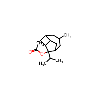 CC(=O)OC1(C(C)C)C2CC(C)CC3CC1C3C2